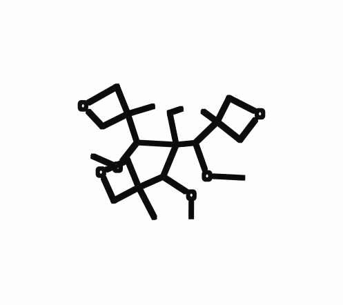 CCC(C(OC)C1(C)COC1)(C(OC)C1(C)COC1)C(OC)C1(C)COC1